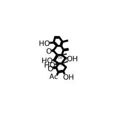 C=C1c2c(C)ccc(O)c2C(=O)C2=C(O)[C@@]3(O)C(=O)C(C(C)=O)=C(O)C[C@@]3(C)[C@H](O)[C@@]12C